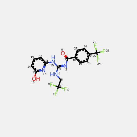 O=C(/N=C(/NCC(F)(F)F)Nc1cccc(O)n1)c1ccc(C(F)(F)F)cc1